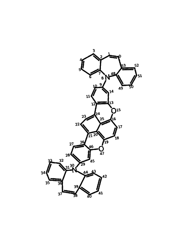 C1=Cc2ccccc2N(c2ccc3c(c2)Oc2ccc4c5c(ccc-3c25)-c2ccc(N3c5ccccc5C=Cc5ccccc53)cc2O4)c2ccccc21